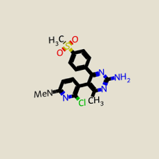 CNc1ccc(-c2c(C)nc(N)nc2-c2ccc(S(C)(=O)=O)cc2)c(Cl)n1